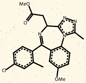 COC(=O)CC1N=C(c2ccc(Cl)cc2C)c2cc(OC)ccc2-n2c(C)nnc21